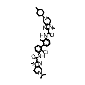 Cc1c(NC(=O)c2nc3c(n2C)CCN(C2CCC(C)CC2)C3)cccc1-c1cccc(NC(=O)c2nc3c(n2C)CCN(C(C)C)C3)c1Cl